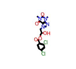 Cn1c(=O)c2c(ncn2CC(O)COC(=O)c2ccc(Cl)cc2Cl)n(C)c1=O